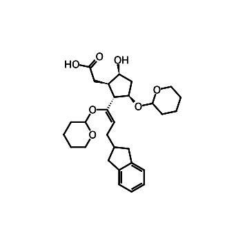 O=C(O)C[C@@H]1[C@@H](C(=CCC2Cc3ccccc3C2)OC2CCCCO2)[C@H](OC2CCCCO2)C[C@@H]1O